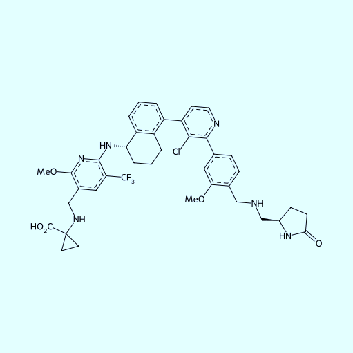 COc1cc(-c2nccc(-c3cccc4c3CCC[C@@H]4Nc3nc(OC)c(CNC4(C(=O)O)CC4)cc3C(F)(F)F)c2Cl)ccc1CNC[C@H]1CCC(=O)N1